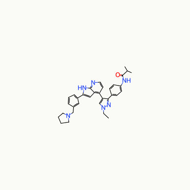 CCn1cc(-c2ccnc3[nH]c(-c4cccc(CN5CCCC5)c4)cc23)c(-c2ccc(NC(=O)C(C)C)cc2)n1